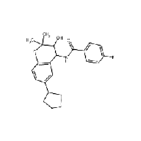 CC1(C)Oc2ccc(C3CCCC3)cc2C(NC(=O)c2ccc(F)cc2)C1O